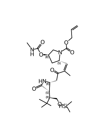 C=CCOC(=O)N1C[C@H](OC(=O)NC)C[C@H]1C=C(C)C(=O)C[C@H]1NC(=O)[C@H]1[C@@H](CO[SiH](C)C)C(C)(C)C